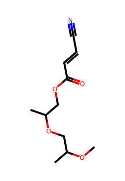 COC(C)COC(C)COC(=O)C=CC#N